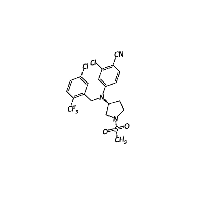 CS(=O)(=O)N1CC[C@H](N(Cc2cc(Cl)ccc2C(F)(F)F)c2ccc(C#N)c(Cl)c2)C1